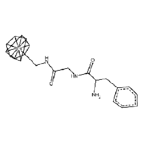 NC(Cc1ccccc1)C(=O)NCC(=O)NC[C]12[CH]3[CH]4[CH]5[CH]1[Fe]45321678[CH]2[CH]1[CH]6[CH]7[CH]28